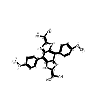 N#CC(C#N)=c1nc2c(-c3ccc(OC(F)(F)F)cc3)c3oc(=C(C#N)C#N)nc3c(-c3ccc(OC(F)(F)F)cc3)c2o1